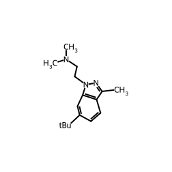 Cc1nn(CCN(C)C)c2cc(C(C)(C)C)ccc12